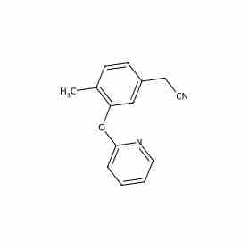 Cc1ccc(CC#N)cc1Oc1ccccn1